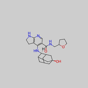 O=C(NCC1CCCO1)c1cnc2c(c1N[C@H]1C3CC4CC1C[C@@](O)(C4)C3)CCN2